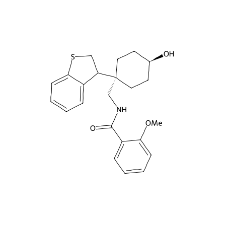 COc1ccccc1C(=O)NC[C@]1(C2CSc3ccccc32)CC[C@@H](O)CC1